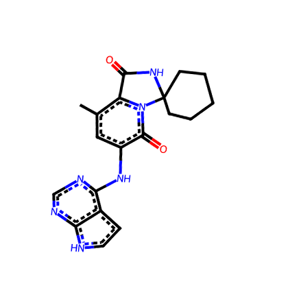 Cc1cc(Nc2ncnc3[nH]ccc23)c(=O)n2c1C(=O)NC21CCCCC1